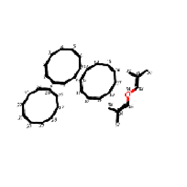 C1CCCCCCCCC1.C1CCCCCCCCC1.C1CCCCCCCCC1.CC(C)=COC=C(C)C